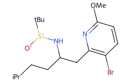 COc1ccc(Br)c(CC(CCC(C)C)N[S+]([O-])C(C)(C)C)n1